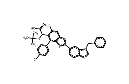 Cc1cc2nc(-c3ccc4ncn(Cc5ccccc5)c4c3)sc2c(-c2ccc(Cl)cc2)c1C(OC(C)(C)C)C(=O)O